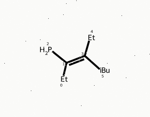 CCC(P)=C(CC)C(C)CC